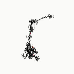 Cc1ccc(Br)nc1NC(=O)[C@@H]1C[C@@]2(CNC(=O)COCCOCCNC(=O)COCCOCCNC(=O)CC[C@H](NC(=O)CCCCCCCCCCCCCCCCC(=O)O)C(=O)O)C[C@H]2N1C(=O)Cn1nc(C(N)=O)c2cc(C#Cc3ncc(F)cn3)ccc21